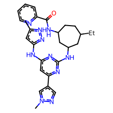 CCC1CCC(NC(=O)c2ccccn2)CC(Nc2nc(Nc3cc(C)[nH]n3)cc(-c3cnn(C)c3)n2)C1